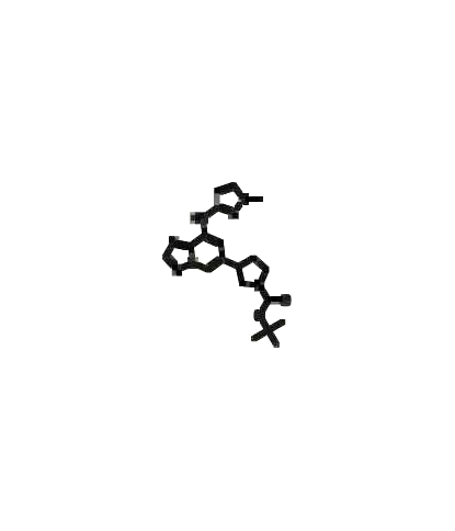 Cn1ccc(Nc2cc(C3CCN(C(=O)OC(C)(C)C)C3)cn3ncnc23)n1